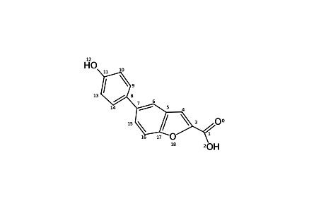 O=C(O)c1cc2cc(-c3ccc(O)cc3)ccc2o1